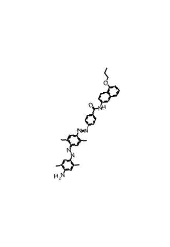 CCCOc1cccc2cc(NC(=O)c3ccc(N=Nc4cc(C)c(N=Nc5cc(C)c(N)cc5C)cc4C)cc3)ccc12